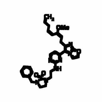 C=CC/C=C\C(=C/Cc1nc2occn2c1-c1ccnc(NCCN2CCN(Cc3ccccc3)S2(=O)=O)n1)OC